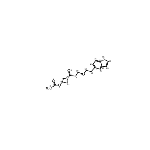 CC(C)(C)C(=O)OC1CN(C(=O)CCOCCc2ccc3sccc3c2)C1